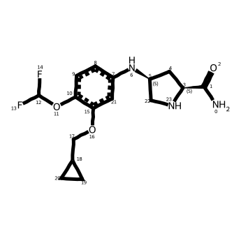 NC(=O)[C@@H]1C[C@H](Nc2ccc(OC(F)F)c(OCC3CC3)c2)CN1